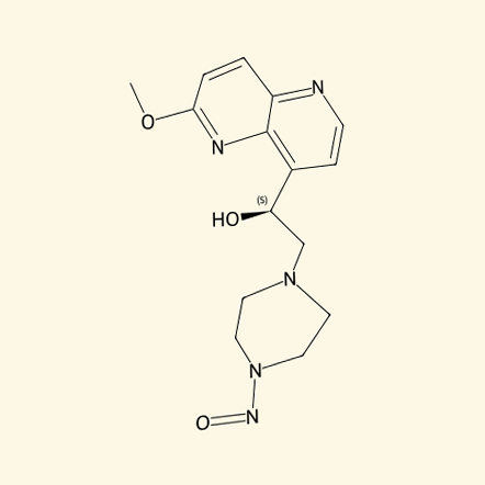 COc1ccc2nccc([C@H](O)CN3CCN(N=O)CC3)c2n1